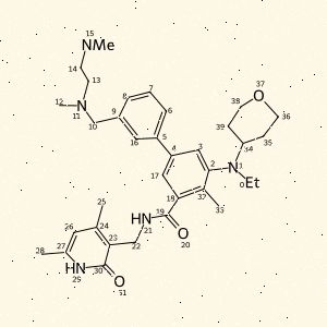 CCN(c1cc(-c2cccc(CN(C)CCNC)c2)cc(C(=O)NCc2c(C)cc(C)[nH]c2=O)c1C)C1CCOCC1